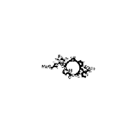 CCn1c(-c2cccnc2[C@H](C)OC)c2c3cc(ccc31)-c1csc(n1)C[C@H](NC(=O)C(C(C)C)N(C)C(=O)N1CC(COC)C1)C(=O)N1CCC[C@H](N1)C(=O)OCC(C)(C)C2